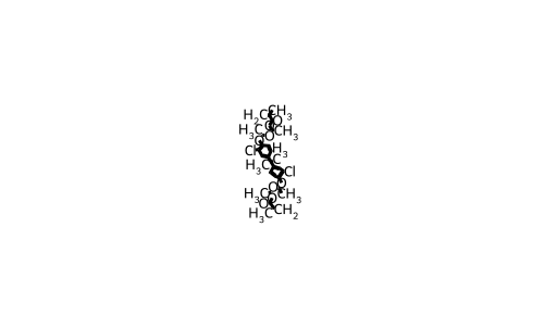 C=C(C)C(=O)OC(C)OC(C)Oc1ccc(C(C)(C)c2ccc(OC(C)OC(C)OC(=O)C(=C)C)c(Cl)c2)cc1Cl